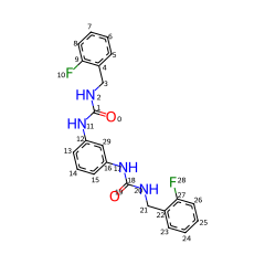 O=C(NCc1ccccc1F)Nc1cccc(NC(=O)NCc2ccccc2F)c1